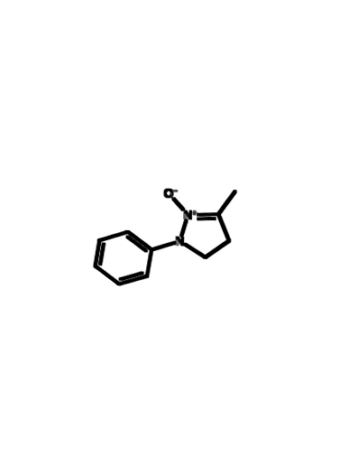 CC1=[N+]([O-])N(c2ccccc2)CC1